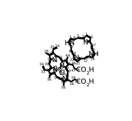 C1=Cc2cc3ccc(cc4nc(cc5ccc(cc1n2)[nH]5)C=C4)[nH]3.C=CC1=C(C)/C2=C/c3c(C=C)c(C)c4[n]3[Fe]([Cl])[n]3/c(c(C)c(CCC(=O)O)/c3=C/C3=NC(=C\4)/C(C)=C3CCC(=O)O)=C\C1=N2